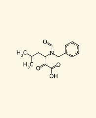 CC(C)CC(C(=O)C(=O)O)N(C=O)Cc1ccccc1